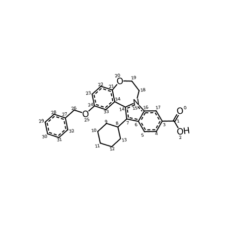 O=C(O)c1ccc2c(C3CCCCC3)c3n(c2c1)CCOc1ccc(OCc2ccccc2)cc1-3